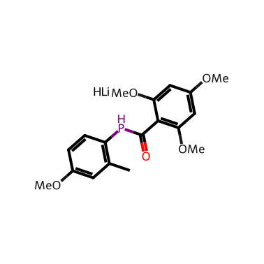 COc1ccc(PC(=O)c2c(OC)cc(OC)cc2OC)c(C)c1.[LiH]